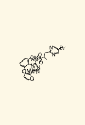 COc1cccc(OC)c1-n1c(NS(=O)(=O)C(C)Cc2ncc(Br)cn2)nnc1-c1ccco1